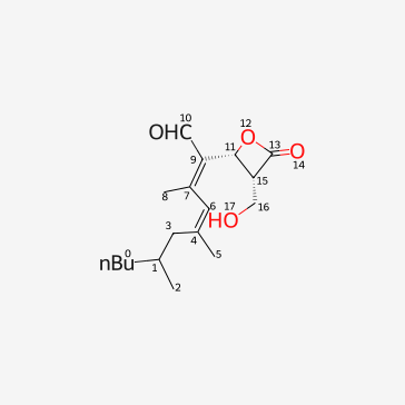 CCCCC(C)CC(C)=CC(C)=C(C=O)[C@@H]1OC(=O)[C@@H]1CO